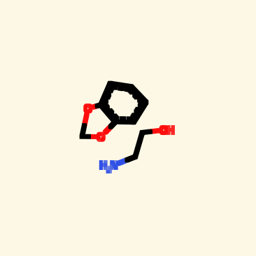 NCCO.c1ccc2c(c1)OCO2